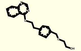 OCCOCc1ccc(CCOc2ncnc3ccccc23)cc1